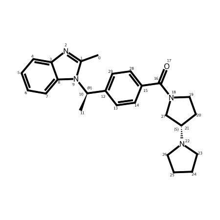 Cc1nc2ccccc2n1[C@H](C)c1ccc(C(=O)N2CC[C@H](N3CCCC3)C2)cc1